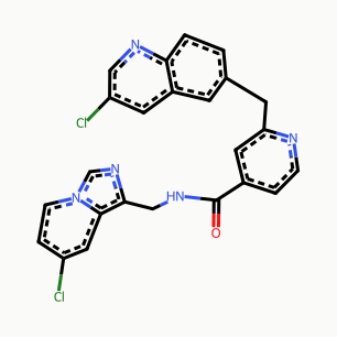 O=C(NCc1ncn2ccc(Cl)cc12)c1ccnc(Cc2ccc3ncc(Cl)cc3c2)c1